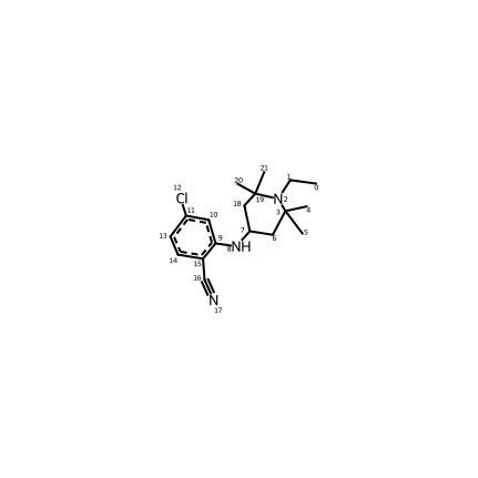 CCN1C(C)(C)CC(Nc2cc(Cl)ccc2C#N)CC1(C)C